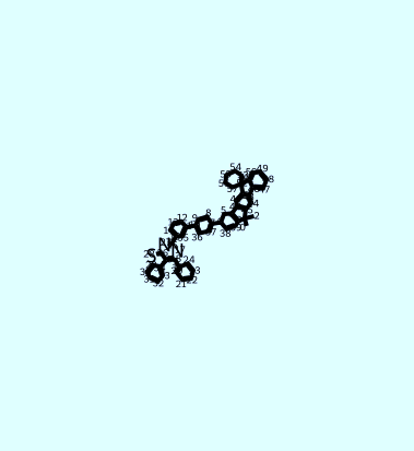 CC1(C)C2=C(CC(c3ccc(-c4cccc(-c5nc(-c6ccccc6)c6c(n5)sc5ccccc56)c4)cc3)C=C2)c2cc3c(cc21)-c1ccccc1C31CCCCC1